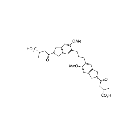 COc1cc2c(cc1CCCc1cc3c(cc1OC)CN(C(=O)C[C@H](C)C(=O)O)C3)CN(C(=O)C[C@H](C)C(=O)O)C2